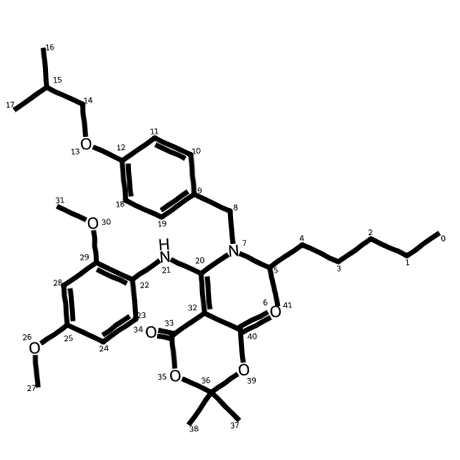 CCCCCC(C)N(Cc1ccc(OCC(C)C)cc1)C(Nc1ccc(OC)cc1OC)=C1C(=O)OC(C)(C)OC1=O